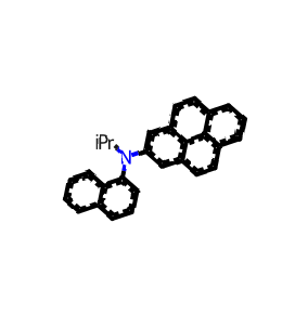 CC(C)N(c1cc2ccc3cccc4ccc(c1)c2c34)c1cccc2ccccc12